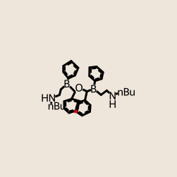 CCCCNCCB(c1ccccc1)C(OC(B(CCNCCCC)c1ccccc1)c1ccccc1)c1ccccc1